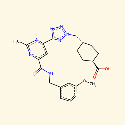 COc1cccc(CNC(=O)c2cc(-c3nnn(C[C@H]4CC[C@H](C(=O)O)CC4)n3)nc(C)n2)c1